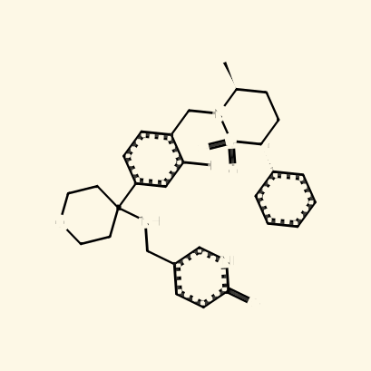 C[C@H]1CC[C@H](c2ccccc2)S(=O)(=O)N1Cc1ccc(C2(NCc3ccc(=O)[nH]c3)CCOCC2)cc1F